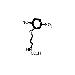 N#Cc1ccc([N+](=O)[O-])cc1OCCCNC(=O)O